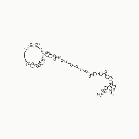 CO[C@H]1CC2CCCC(O2)C(=O)C(=O)N2CCCC[C@H]2CO[C@H]([C@H](N)CC2CCC(OC(=O)NCCOCCOCCOCCOCCOCCOCCC(=O)N3CCC(N4CCC(C(=O)N5CCc6cc(Cn7nc(-c8ccc9oc(N)nc9c8)c8c(N)ncnc87)ccc6C5)CC4)CC3)CC2)CCC(C)/C=C(\C)[C@@H](O)CC(=O)[C@H](C)C[C@H](C)/C=C/C=C/C=C/1C